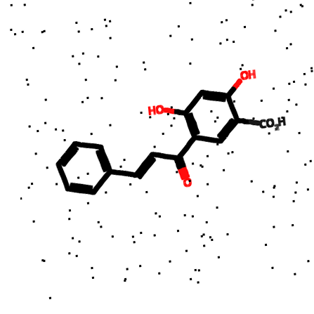 O=C(O)c1cc(C(=O)C=Cc2ccccc2)c(O)cc1O